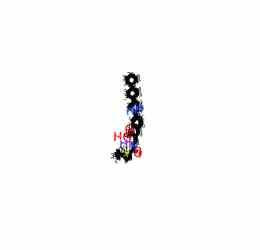 CC(C)(C)c1ccc(C(=O)NCC(Cc2ccc(-c3ncc(C4=CCC(C5CCCCC5)CC4)cn3)cc2)C(=O)O)s1